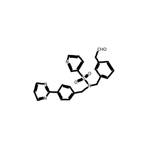 O=CCc1cccc(CN(Cc2ccc(-c3ncccn3)cc2)S(=O)(=O)c2cccnc2)c1